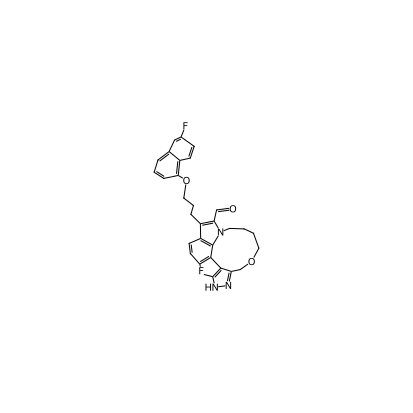 Cc1[nH]nc2c1-c1c(F)ccc3c(CCCOc4cccc5cc(F)ccc45)c(C=O)n(c13)CCCCOC2